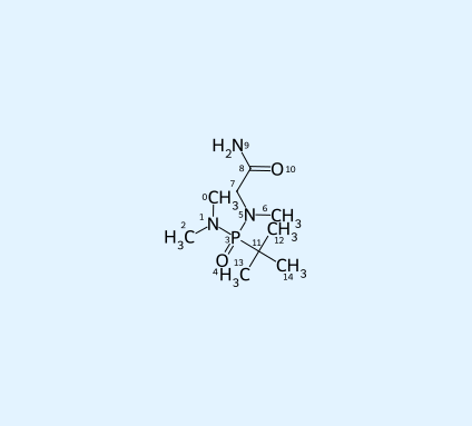 CN(C)P(=O)(N(C)CC(N)=O)C(C)(C)C